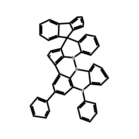 c1ccc(-c2cc3c4c(c2)N(c2ccccc2)c2ccccc2B4N2c4ccccc4C4(c5ccccc5-c5ccccc54)c4cccc-3c42)cc1